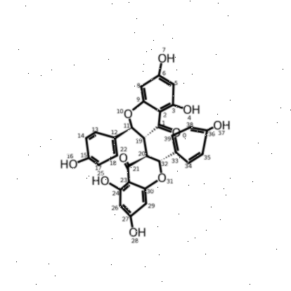 O=C1c2c(O)cc(O)cc2O[C@H](c2ccc(O)cc2)[C@H]1[C@@H]1C(=O)c2c(O)cc(O)cc2O[C@H]1c1ccc(O)cc1